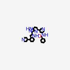 O=C(Nc1cncc(-c2ccc3[nH]nc(-c4cc5c(-c6ccncc6)cccc5[nH]4)c3n2)c1)c1ccccc1